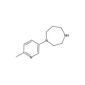 Cc1ccc(N2CCCNCC2)cn1